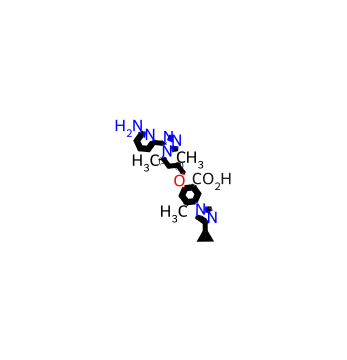 Cc1cc(OC[C@H](C)C[C@H](C)n2cnnc2-c2cccc(N)n2)c(C(=O)O)cc1-n1cnc(C2CC2)c1